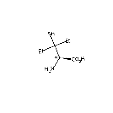 CCC(S)(CC)[C@H](N)C(=O)O